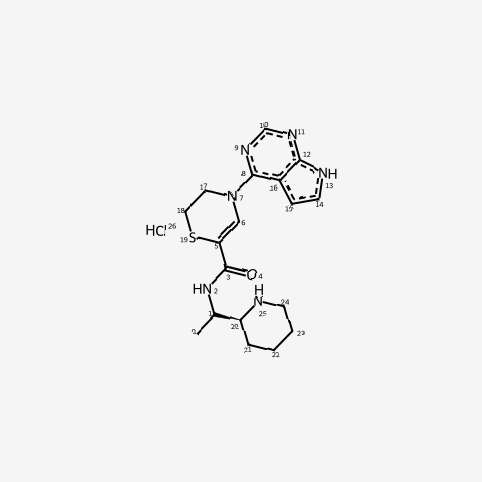 CC(NC(=O)C1=CN(c2ncnc3[nH]ccc23)CCS1)[C@@H]1CCCCN1.Cl